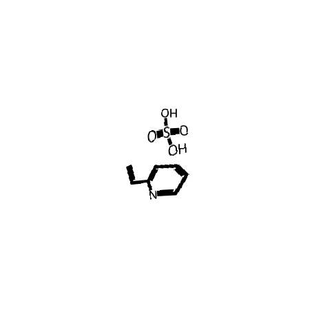 C=Cc1ccccn1.O=S(=O)(O)O